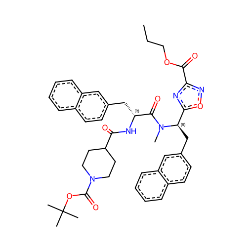 CCCOC(=O)c1noc([C@@H](Cc2ccc3ccccc3c2)N(C)C(=O)[C@@H](Cc2ccc3ccccc3c2)NC(=O)C2CCN(C(=O)OC(C)(C)C)CC2)n1